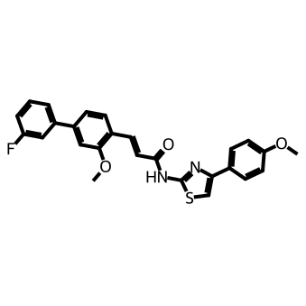 COc1ccc(-c2csc(NC(=O)C=Cc3ccc(-c4cccc(F)c4)cc3OC)n2)cc1